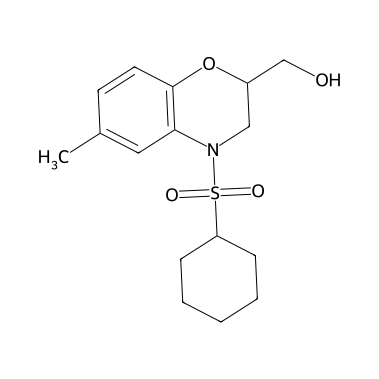 Cc1ccc2c(c1)N(S(=O)(=O)C1CCCCC1)CC(CO)O2